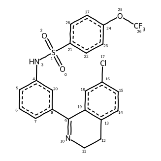 O=S(=O)(Nc1cccc(C2=NCCc3ccc(Cl)cc32)c1)c1ccc(OC(F)(F)F)cc1